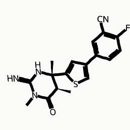 C[C@H]1C(=O)N(C)C(=N)N[C@]1(C)c1cc(-c2ccc(F)c(C#N)c2)cs1